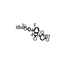 Cn1c(=O)n(C2CCC(=O)NC2=O)c2ccc(F)c(N3CC(O[Si](C)(C)C(C)(C)C)C3)c21